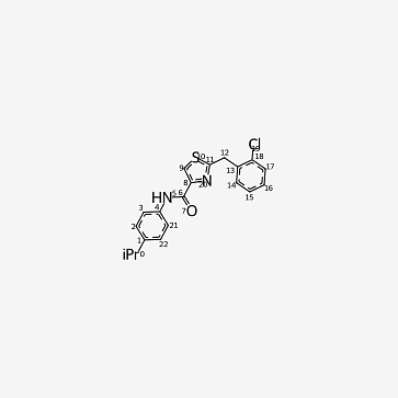 CC(C)c1ccc(NC(=O)c2csc(Cc3ccccc3Cl)n2)cc1